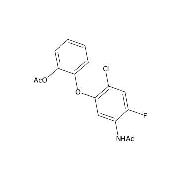 CC(=O)Nc1cc(Oc2ccccc2OC(C)=O)c(Cl)cc1F